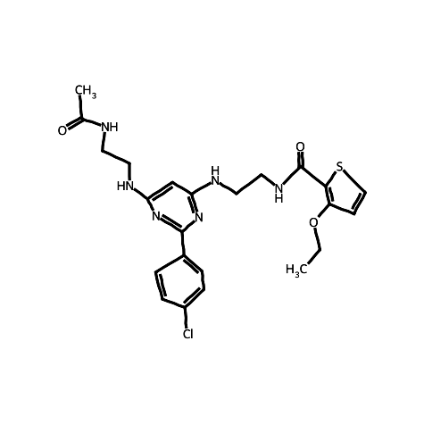 CCOc1ccsc1C(=O)NCCNc1cc(NCCNC(C)=O)nc(-c2ccc(Cl)cc2)n1